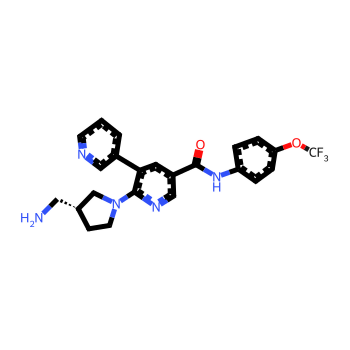 NC[C@H]1CCN(c2ncc(C(=O)Nc3ccc(OC(F)(F)F)cc3)cc2-c2cccnc2)C1